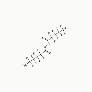 O=C(OOC(=O)C(F)(F)C(F)(F)C(F)(F)C(F)(Cl)C(F)(F)F)C(F)(F)C(F)(F)C(F)(F)C(F)(Cl)C(F)(F)F